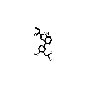 C=CC(=O)c1cc2c(-c3ccc(OC)c(CC(=O)O)c3)cccc2[nH]1